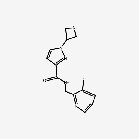 O=C(NCc1ncccc1F)c1ccn(C2CNC2)n1